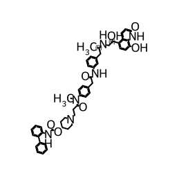 C[C@H](Cc1cccc(NC(=O)Cc2ccc(N(C)C(=O)CCN3CCC(OC(=O)Nc4ccccc4-c4ccccc4)CC3)cc2)c1)NC[C@H](O)c1ccc(O)c2[nH]c(=O)ccc12